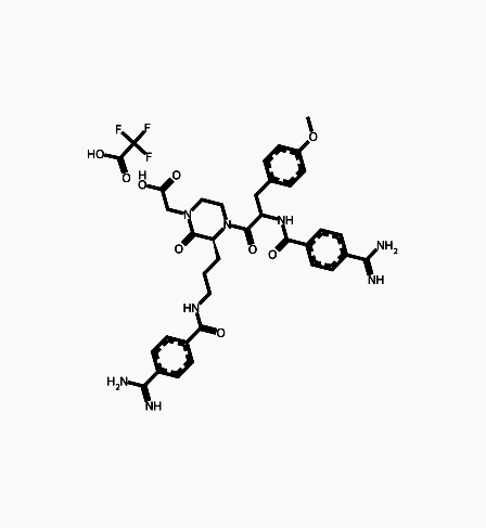 COc1ccc(CC(NC(=O)c2ccc(C(=N)N)cc2)C(=O)N2CCN(CC(=O)O)C(=O)[C@@H]2CCCNC(=O)c2ccc(C(=N)N)cc2)cc1.O=C(O)C(F)(F)F